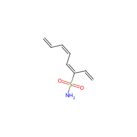 C=C/C=C\C=C(/C=C)S(N)(=O)=O